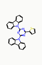 c1csc(-c2nc(-n3c4ccccc4c4ccccc43)nc(-n3c4ccccc4c4ccccc43)n2)c1